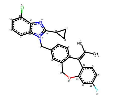 C/C(C#N)=C1/c2ccc(Cn3c(C4CC4)nc4c(Cl)cccc43)cc2COc2cc(F)ccc21